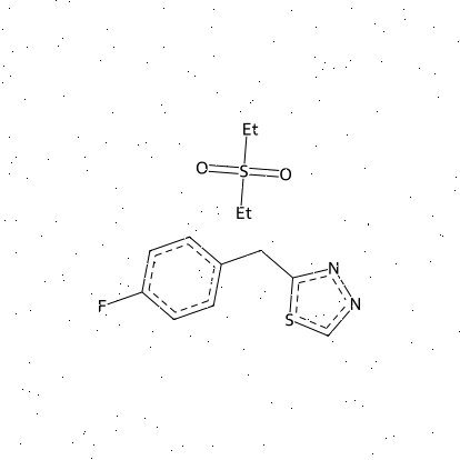 CCS(=O)(=O)CC.Fc1ccc(Cc2nncs2)cc1